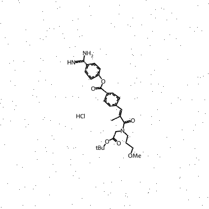 COCCCN(CC(=O)OC(C)(C)C)C(=O)/C(C)=C/c1ccc(C(=O)Oc2ccc(C(=N)N)cc2)cc1.Cl